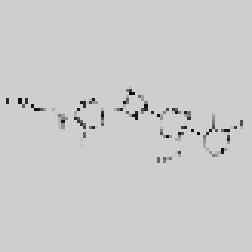 CCOc1cc(-c2nc(-c3cnc(NCCC(=O)O)c(Cl)c3)no2)ccc1-c1cccc(F)c1C